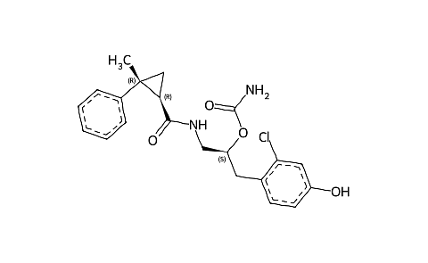 C[C@@]1(c2ccccc2)C[C@H]1C(=O)NC[C@H](Cc1ccc(O)cc1Cl)OC(N)=O